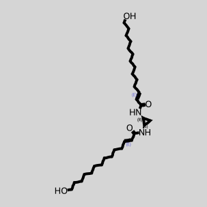 O=C(/C=C/CCCCCCCCCCCO)N[C@H]1C[C@H]1NC(=O)/C=C/CCCCCCCCCCCO